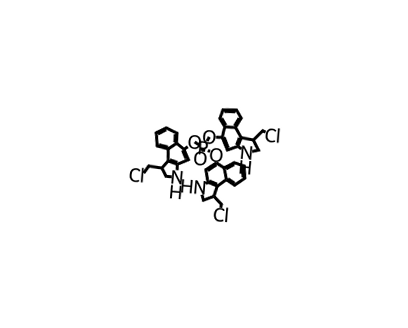 O=P(Oc1cc2c(c3ccccc13)C(CCl)CN2)(Oc1cc2c(c3ccccc13)C(CCl)CN2)Oc1cc2c(c3ccccc13)C(CCl)CN2